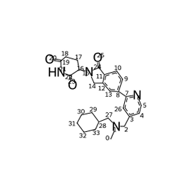 CN(Cc1ccnc(-c2ccc3c(c2)CN(C2CCC(=O)NC2=O)C3=O)c1)CC1CCCCC1